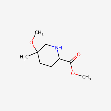 COC(=O)C1CCC(C)(OC)CN1